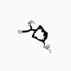 NC(=O)c1cccc([AsH2])c1